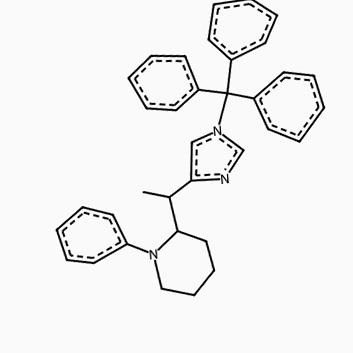 CC(c1cn(C(c2ccccc2)(c2ccccc2)c2ccccc2)cn1)C1CCCCN1c1ccccc1